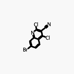 N#Cc1c(Cl)nc2cc(Br)ccc2c1Cl